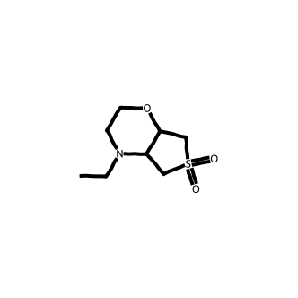 CCN1CCOC2CS(=O)(=O)CC21